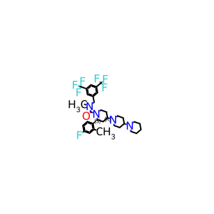 Cc1cc(F)ccc1[C@@H]1C[C@H](N2CCC(N3CCCCC3)CC2)CCN1C(=O)N(C)Cc1cc(C(F)(F)F)cc(C(F)(F)F)c1